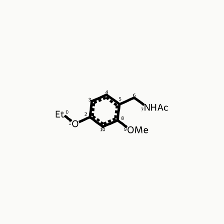 CCOc1ccc(CNC(C)=O)c(OC)c1